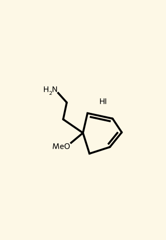 COC1(CCN)C=CC=CC1.I